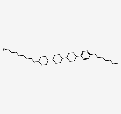 CCCCCCCc1ccc(C2CCC(C3CCC([C@H]4CC[C@H](CCCCCCCCF)CC4)CC3)CC2)cc1